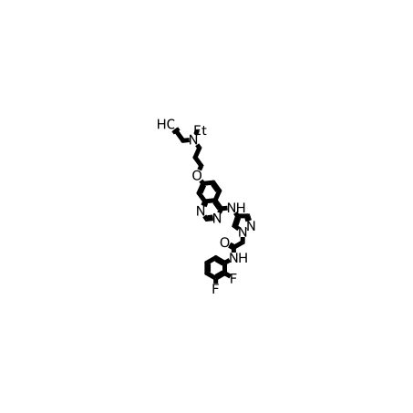 C#CCN(CC)CCCOc1ccc2c(Nc3cnn(CC(=O)Nc4cccc(F)c4F)c3)ncnc2c1